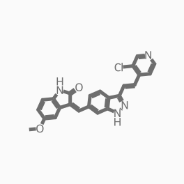 COc1ccc2c(c1)C(=Cc1ccc3c(C=Cc4ccncc4Cl)n[nH]c3c1)C(=O)N2